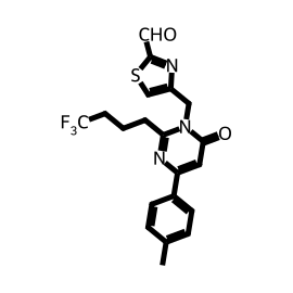 Cc1ccc(-c2cc(=O)n(Cc3csc(C=O)n3)c(CCCC(F)(F)F)n2)cc1